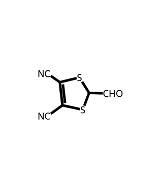 N#CC1=C(C#N)SC(C=O)S1